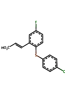 O=C(O)C=Cc1cc(F)ccc1Sc1ccc(Cl)cc1